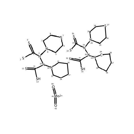 S=C([S-])N(N1CCSCC1)N(C(=S)S)N1CCCCC1.S=C([S-])N(N1CCSCC1)N(C(=S)S)N1CCCCC1.[O]=[Mo+2]=[O]